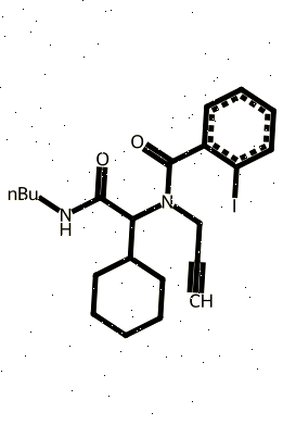 C#CCN(C(=O)c1ccccc1I)C(C(=O)NCCCC)C1CCCCC1